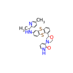 Cc1ccc(C(C)Nc2ccc3c(c2)Sc2cccc(C4CN(c5ccc[nH]c5=O)CCO4)c2S3)nc1